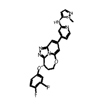 Cn1nccc1Nc1cc(-c2cc3n4c(nnc4c2)[C@@H](Oc2ccc(F)c(F)c2)CCO3)ccn1